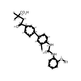 CCOc1ccccc1NC(=O)Nc1ccc(-c2ccc(C(=O)CC(C)(C)C(=O)O)cc2)cc1C